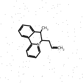 C=CCC1C(C)c2ccccc2-c2cccc[n+]21